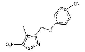 Cn1c([N+](=O)[O-])cnc1COc1ccc(C#N)cc1